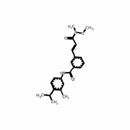 CON(C)C(=O)/C=C/c1cccc(C(=O)Nc2ccc(C(C)C)c(C)c2)c1